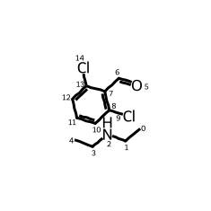 CCNCC.O=Cc1c(Cl)cccc1Cl